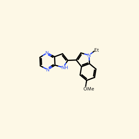 CCn1cc(-c2cc3nccnc3[nH]2)c2cc(OC)ccc21